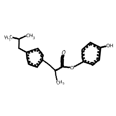 CC(C)Cc1ccc(C(C)C(=O)Oc2ccc(O)cc2)cc1